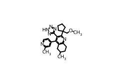 COCC1(c2nc3c(c(-c4ccnc(C)c4)c2-c2nn[nH]n2)CC(C)CC3)CCCC1